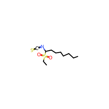 CCCCCCCC(N=C=S)S(=O)(=O)CC